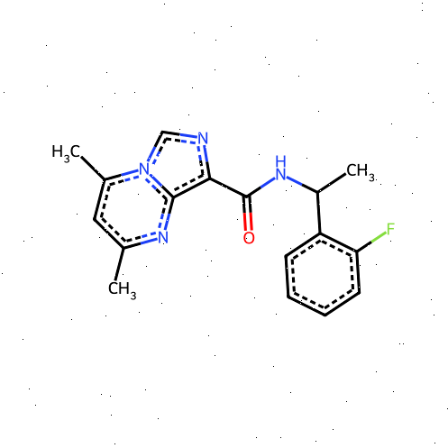 Cc1cc(C)n2cnc(C(=O)NC(C)c3ccccc3F)c2n1